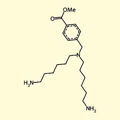 COC(=O)c1ccc(CN(CCCCCCN)CCCCCCN)cc1